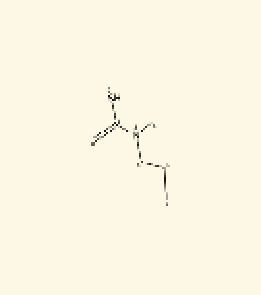 C=C(S)N(C)CCI